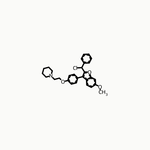 COc1ccc2c(-c3ccc(OCCN4CCCCC4)cc3)c(C(Cl)c3ccccc3)oc2c1